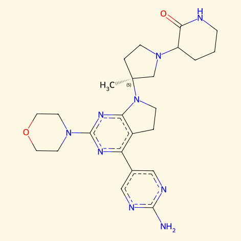 C[C@]1(N2CCc3c(-c4cnc(N)nc4)nc(N4CCOCC4)nc32)CCN(C2CCCNC2=O)C1